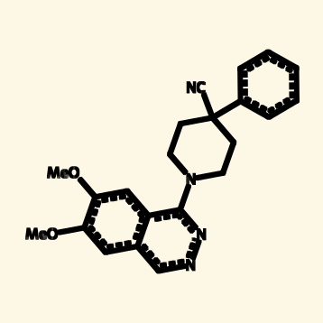 COc1cc2cnnc(N3CCC(C#N)(c4ccccc4)CC3)c2cc1OC